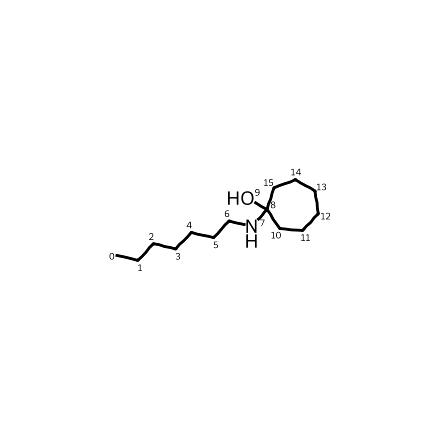 CCCCCCCNC1(O)CCCCCC1